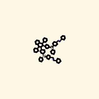 C(=C\c1ccc(N(c2ccccc2)c2ccc(-c3c(-c4ccc(N(c5ccccc5)c5ccc(/C=C/c6ccccc6)cc5)cc4)c(-c4ccccc4)c4ccccc4c3-c3ccccc3)cc2)cc1)/c1ccccc1